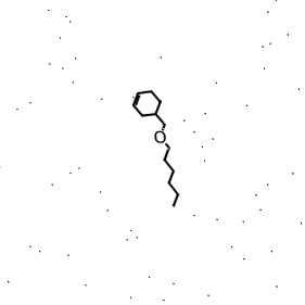 CCCCCCOCC1CC=CCC1